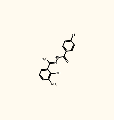 C/C(=N\NC(=O)c1ccc(Cl)cc1)c1cccc([N+](=O)[O-])c1O